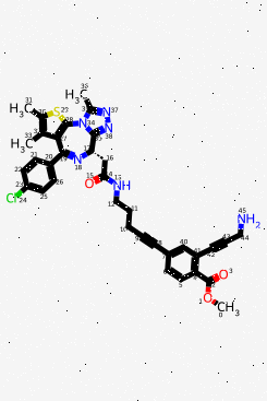 COC(=O)c1ccc(C#CCCCNC(=O)C[C@@H]2N=C(c3ccc(Cl)cc3)c3c(sc(C)c3C)-n3c(C)nnc32)cc1C#CCN